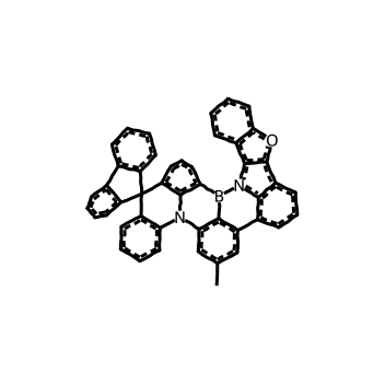 Cc1cc2c3c(c1)N1c4ccccc4C4(c5ccccc5-c5ccccc54)c4cccc(c41)B3n1c3c-2cccc3c2oc3ccccc3c21